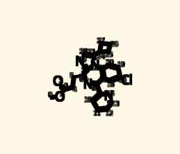 COC(=O)CC[C@@H]1N=C(c2ccccn2)c2cc(Cl)ccc2-n2c(C3CCC3)cnc21